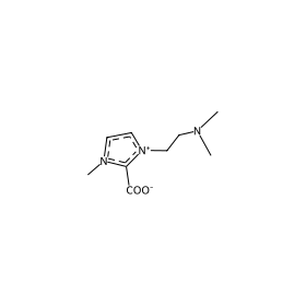 CN(C)CC[n+]1ccn(C)c1C(=O)[O-]